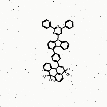 CC1(C)N=C(c2ccc(-c3cccc4c3c3ccccc3n4-c3cc(-c4ccccc4)nc(-c4ccccc4)n3)cc2)N2c3ccccc3C(C)(C)c3cccc1c32